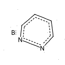 [B].c1ccnnc1